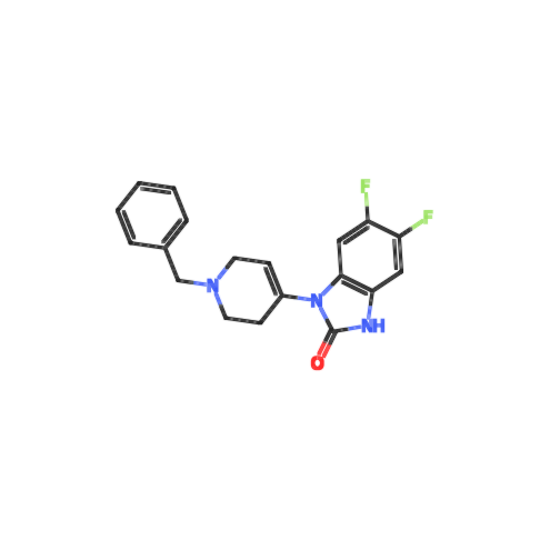 O=c1[nH]c2cc(F)c(F)cc2n1C1=CCN(Cc2ccccc2)CC1